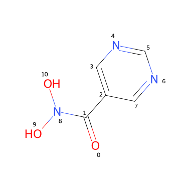 O=C(c1cncnc1)N(O)O